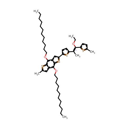 CCCCCCCCCCCCOc1c2cc(-c3ccc(/C(C)=C(\OCC)c4ccc(C)s4)s3)sc2c(OCCCCCCCCCCCC)c2cc(C)sc12